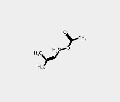 CC(=O)O[SiH2]C=C(C)C